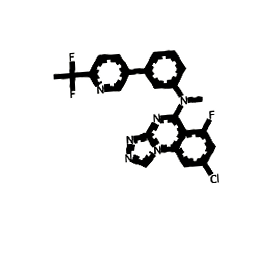 CN(c1cccc(-c2ccc(C(C)(F)F)nc2)c1)c1nc2nncn2c2cc(Cl)cc(F)c12